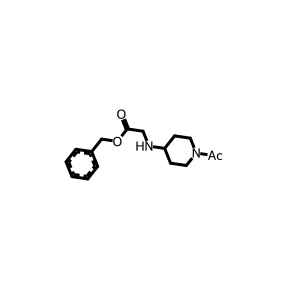 CC(=O)N1CCC(NCC(=O)OCc2ccccc2)CC1